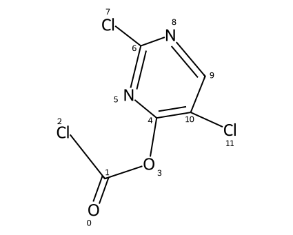 O=C(Cl)Oc1nc(Cl)ncc1Cl